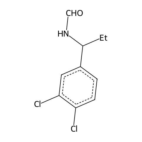 CCC(NC=O)c1ccc(Cl)c(Cl)c1